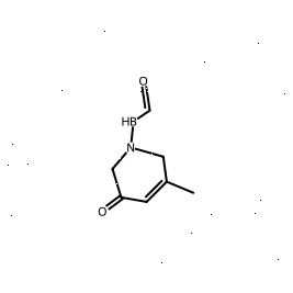 CC1=CC(=O)CN(BC=O)C1